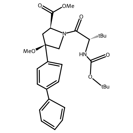 COC(=O)[C@@H]1C[C@@](OC)(c2ccc(-c3ccccc3)cc2)CN1C(=O)[C@@H](NC(=O)OC(C)(C)C)C(C)(C)C